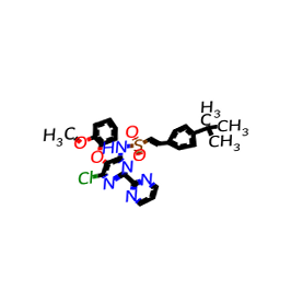 COc1ccccc1Oc1c(Cl)nc(-c2ncccn2)nc1NS(=O)(=O)C=Cc1ccc(C(C)(C)C)cc1